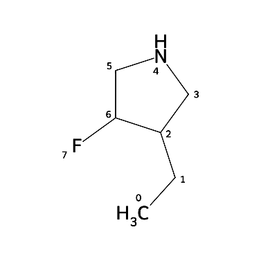 CCC1CNCC1F